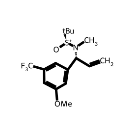 C=C[C@H](c1cc(OC)cc(C(F)(F)F)c1)N(C)[S@@+]([O-])C(C)(C)C